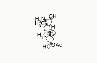 CC(=O)O[C@]1(O)CC[C@@]2(C)C(=CC=C3[C@@H]4C[C@@H](O)[C@H](N)[C@@]4(C)CC[C@@H]32)C1